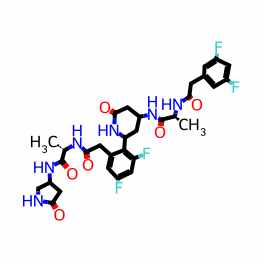 C[C@H](NC(=O)Cc1cc(F)cc(F)c1C1CC(NC(=O)[C@H](C)NC(=O)Cc2cc(F)cc(F)c2)CC(=O)N1)C(=O)NC1CNC(=O)C1